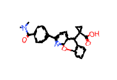 CN(C)C(=O)c1ccc(-c2ccc3c(n2)Oc2ccccc2C3C2(C(=O)O)CC2)cc1